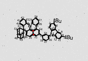 CC(C)(C)c1ccc2c(c1)c1cc(C(C)(C)C)ccc1n2-c1cccc(-c2cccc(-c3ccccc3N3c4ccccc4C4(c5ccccc53)C3CC5CC(C3)CC4C5)c2)c1